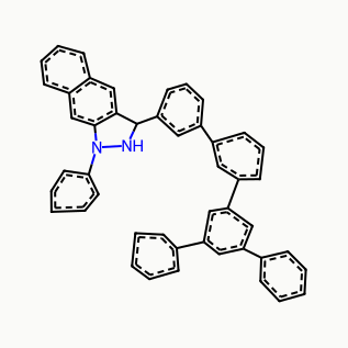 c1ccc(-c2cc(-c3ccccc3)cc(-c3cccc(-c4cccc(C5NN(c6ccccc6)c6cc7ccccc7cc65)c4)c3)c2)cc1